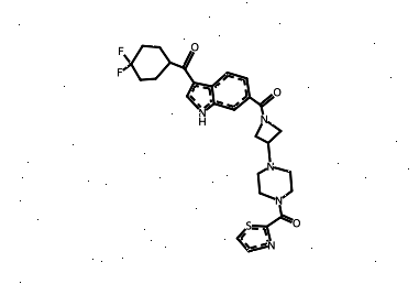 O=C(c1c[nH]c2cc(C(=O)N3CC(N4CCN(C(=O)c5nccs5)CC4)C3)ccc12)C1CCC(F)(F)CC1